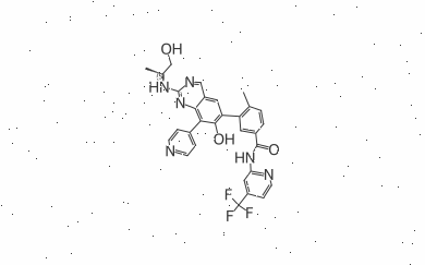 Cc1ccc(C(=O)Nc2cc(C(F)(F)F)ccn2)cc1-c1cc2cnc(N[C@@H](C)CO)nc2c(-c2ccncc2)c1O